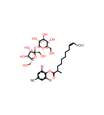 CCCCCCCC/C=C\CCCCCCC(C)C(=O)Oc1c(Br)cc(C#N)cc1Br.OC[C@H]1O[C@@](CO)(O[C@H]2O[C@H](CO)[C@@H](O)[C@H](O)[C@H]2O)[C@@H](O)[C@@H]1O